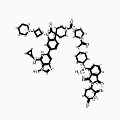 CC(C)n1cnc2cc(-c3ccc4c(c3)N([C@H]3C[C@@H](N5CCCCC5)C3)C(=O)C43CCN(C(=O)[C@@H]4CCN(C(=O)C[C@H]5CC[C@H](N(C)c6cccc7c6C(=O)N(C6CCC(=O)NC6=O)C7=O)CC5)C4)CC3)nc(NC3CC3)c21